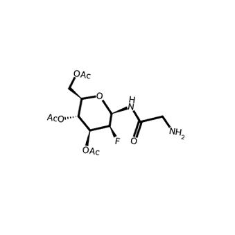 CC(=O)OC[C@H]1O[C@@H](NC(=O)CN)[C@@H](F)[C@@H](OC(C)=O)[C@@H]1OC(C)=O